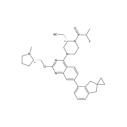 CC(F)C(=O)N1CCN(c2nc(OC[C@@H]3CCCN3C)nc3cc(-c4cccc5c4CC4(CC4)C5)ccc23)C[C@@H]1CC#N